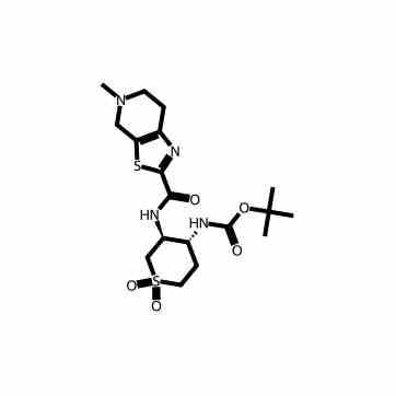 CN1CCc2nc(C(=O)N[C@@H]3CS(=O)(=O)CC[C@H]3NC(=O)OC(C)(C)C)sc2C1